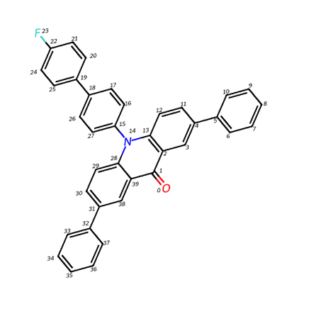 O=c1c2cc(-c3ccccc3)ccc2n(-c2ccc(-c3ccc(F)cc3)cc2)c2ccc(-c3ccccc3)cc12